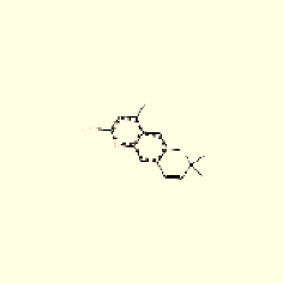 CC(=O)Oc1cc(C)c2cc3c(cc2n1)C=CC(C)(C)O3